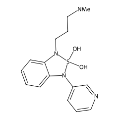 CNCCCN1c2ccccc2N(c2cccnc2)S1(O)O